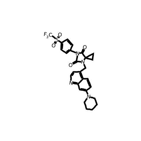 O=C1N(c2ccc(S(=O)(=O)C(F)(F)F)cc2)C(=O)C2(CC2)N1Cc1ccnc2cc(N3CCCCC3)ccc12